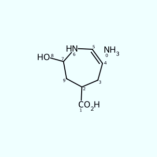 N.O=C(O)C1CC=CNC(O)C1